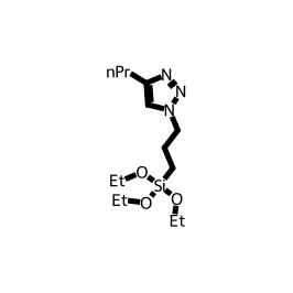 CCCc1cn(CCC[Si](OCC)(OCC)OCC)nn1